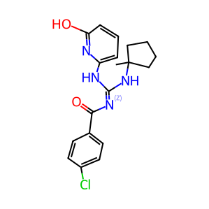 CC1(N/C(=N/C(=O)c2ccc(Cl)cc2)Nc2cccc(O)n2)CCCC1